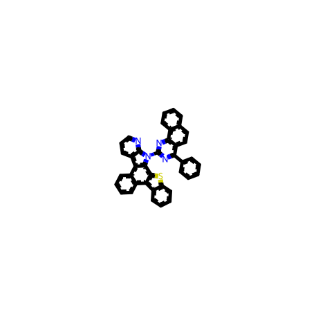 c1ccc(-c2nc(-n3c4ncccc4c4c5ccccc5c5c6ccccc6sc5c43)nc3c2ccc2ccccc23)cc1